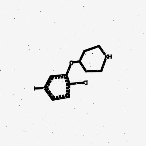 Clc1ccc(I)cc1OC1CCNCC1